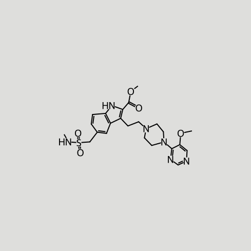 CNS(=O)(=O)Cc1ccc2[nH]c(C(=O)OC)c(CCN3CCN(c4ncncc4OC)CC3)c2c1